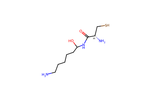 NCCCCCC(O)NC(=O)[C@@H](N)CS